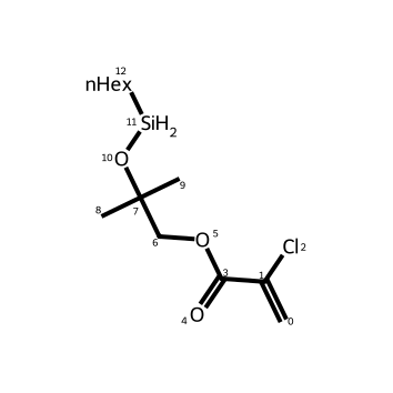 C=C(Cl)C(=O)OCC(C)(C)O[SiH2]CCCCCC